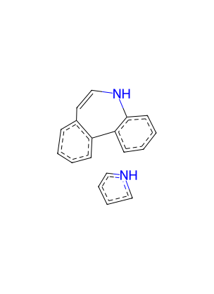 C1=Cc2ccccc2-c2ccccc2N1.c1cc[nH]c1